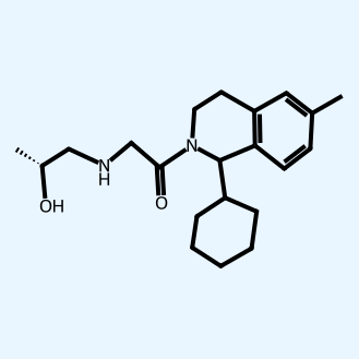 Cc1ccc2c(c1)CCN(C(=O)CNC[C@@H](C)O)C2C1CCCCC1